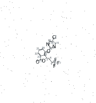 O=C1O[C@H](CCC(F)(F)F)c2c(Oc3ncc(Cl)cn3)cccc21